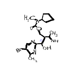 CC(=N)/C(COC(=O)N(C)C1CCCC1)=C(\O)c1ncc(Br)c(C)n1